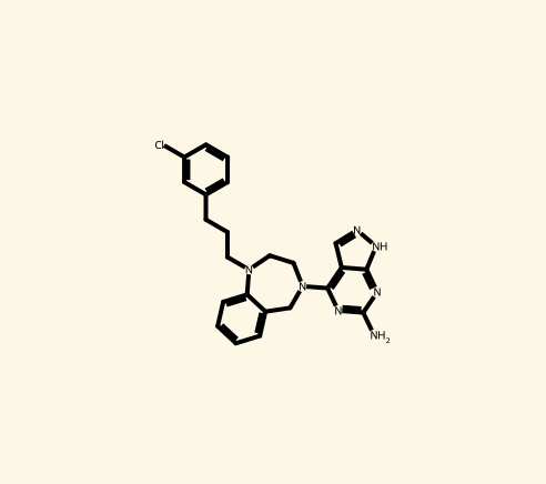 Nc1nc(N2CCN(CCCc3cccc(Cl)c3)c3ccccc3C2)c2cn[nH]c2n1